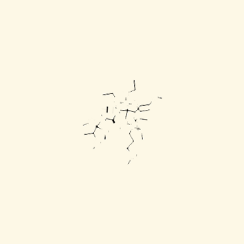 CCO[Si](OCC)(OCC)C(CCCOC)(NC(=O)NC(OC)(OC)C(C)OC)O[Si](CCCOC)(OC)OC